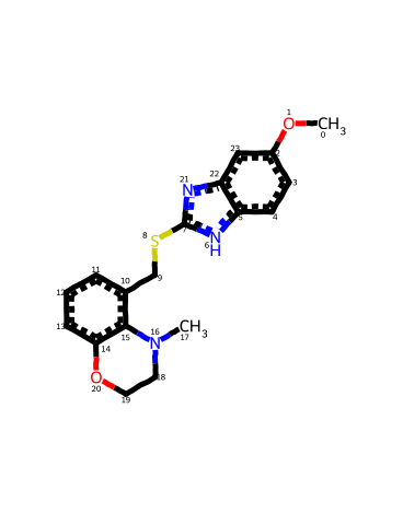 COc1ccc2[nH]c(SCc3cccc4c3N(C)CCO4)nc2c1